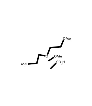 CC(=O)O.COC.COCCOCCOC